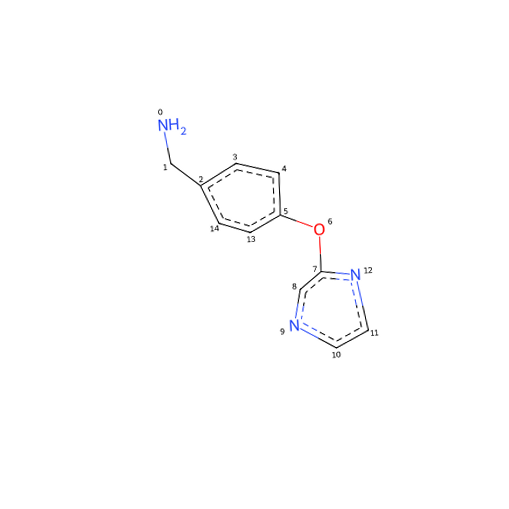 NCc1ccc(Oc2cnccn2)cc1